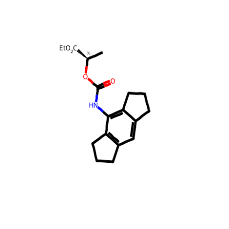 CCOC(=O)[C@@H](C)OC(=O)Nc1c2c(cc3c1CCC3)CCC2